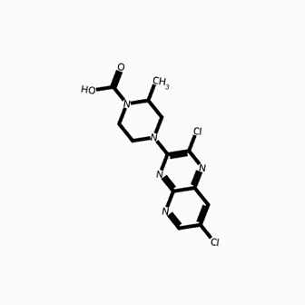 CC1CN(c2nc3ncc(Cl)cc3nc2Cl)CCN1C(=O)O